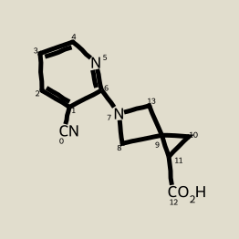 N#Cc1cccnc1N1CC2(CC2C(=O)O)C1